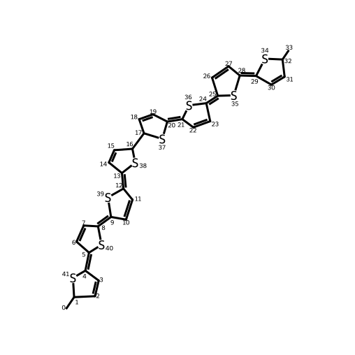 CC1C=C/C(=c2/cc/c(=c3/cc/c(=C4/C=CC(C5C=C/C(=c6/cc/c(=c7/cc/c(=C8/C=CC(C)S8)s7)s6)S5)S4)s3)s2)S1